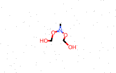 CN(OCO)OCO